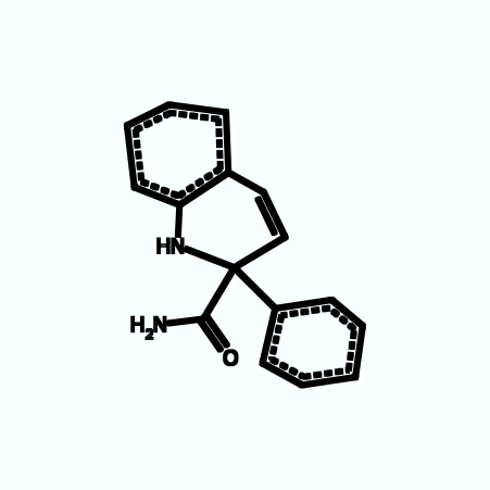 NC(=O)C1(c2ccccc2)C=Cc2ccccc2N1